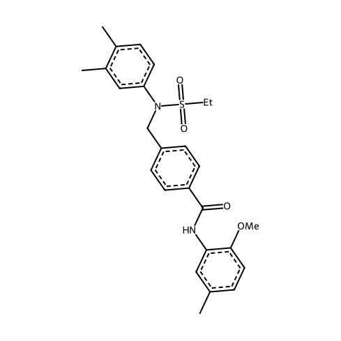 CCS(=O)(=O)N(Cc1ccc(C(=O)Nc2cc(C)ccc2OC)cc1)c1ccc(C)c(C)c1